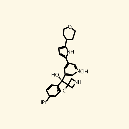 CC(C)c1ccc([C@](O)(c2cncc(-c3ccc(C4CCOCC4)[nH]3)c2)C2(C)CNC2)cc1.Cl